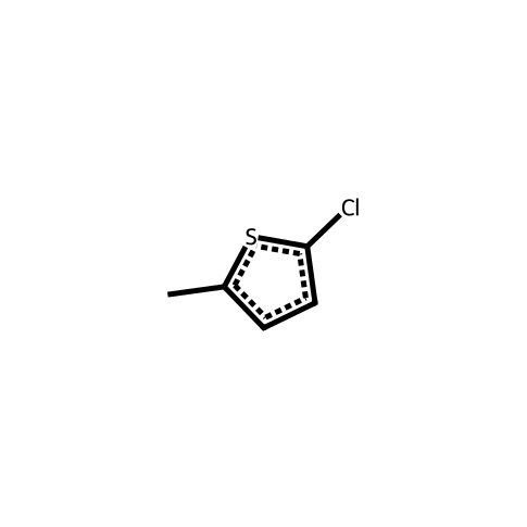 Cc1ccc(Cl)s1